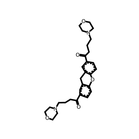 O=C(CCCN1CCOCC1)c1ccc2c(c1)Cc1cc(C(=O)CCCN3CCOCC3)ccc1O2